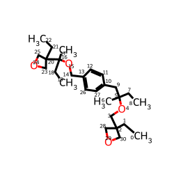 CCC1(COC(C)(CC)Cc2ccc(COC(C)(CC)C3(CC)COC3)cc2)COC1